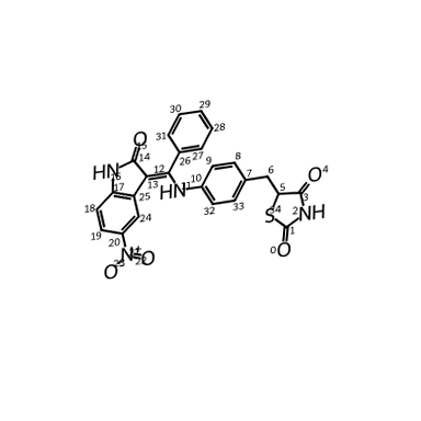 O=C1NC(=O)C(Cc2ccc(NC(=C3C(=O)Nc4ccc([N+](=O)[O-])cc43)c3ccccc3)cc2)S1